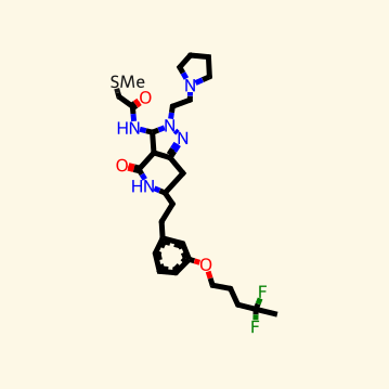 CSCC(=O)NC1C2C(=O)NC(CCc3cccc(OCCCC(C)(F)F)c3)CC2=NN1CCN1CCCC1